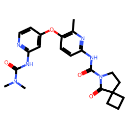 Cc1nc(NC(=O)N2CCC3(CCC3)C2=O)ccc1Oc1ccnc(NC(=O)N(C)C)c1